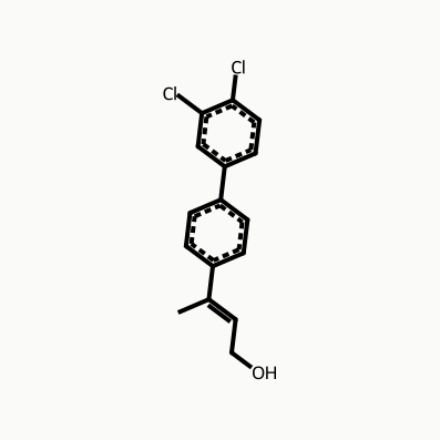 CC(=CCO)c1ccc(-c2ccc(Cl)c(Cl)c2)cc1